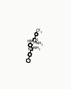 Nc1nc(Nc2ccc3nc(-c4ccc(C5CCCCC5)cc4)cc(N)c3c2)cc(-c2ccc(C(F)(F)F)cc2)n1